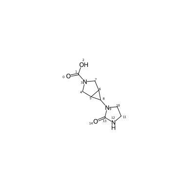 O=C(O)N1CC2C(C1)C2N1CCNC1=O